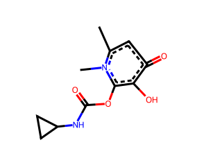 Cc1cc(=O)c(O)c(OC(=O)NC2CC2)n1C